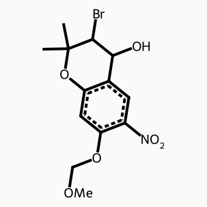 COCOc1cc2c(cc1[N+](=O)[O-])C(O)C(Br)C(C)(C)O2